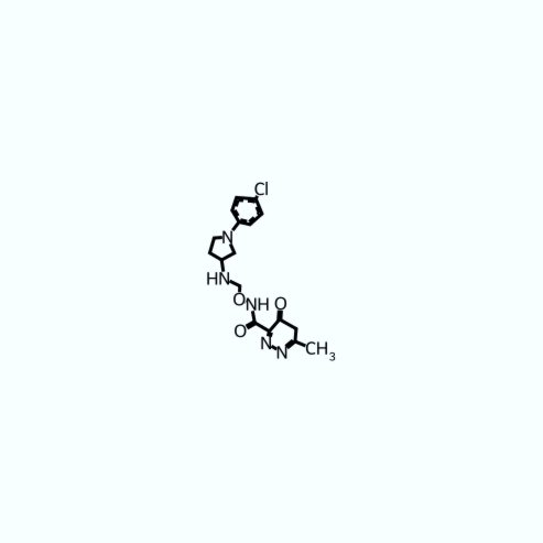 CC1=NN=C(C(=O)NOCNC2CCN(c3ccc(Cl)cc3)C2)C(=O)C1